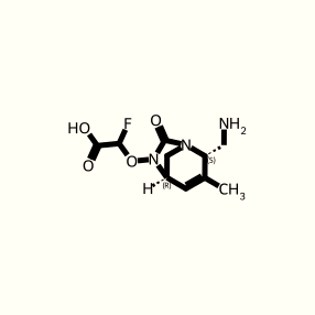 CC1=C[C@@H]2CN(C(=O)N2OC(F)C(=O)O)[C@@H]1CN